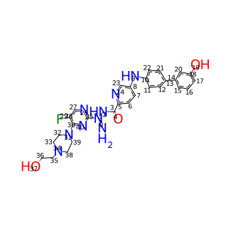 NN(NC(=O)c1ccc(Nc2ccc(-c3cccc(O)c3)cc2)cn1)c1ncc(F)c(N2CCN(CCO)CC2)n1